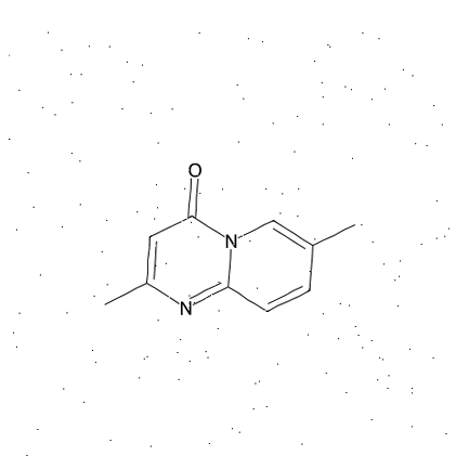 Cc1ccc2nc(C)cc(=O)n2c1